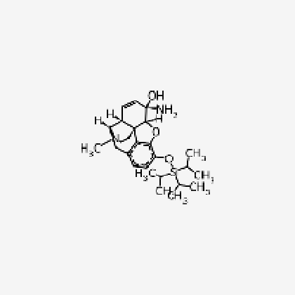 CC(C)[Si](Oc1ccc2c3c1O[C@@H]1[C@]34CCN(C)[C@H](C2)[C@@H]4C=C[C@]1(N)O)(C(C)C)C(C)C